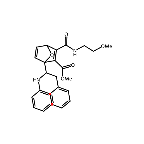 COCCNC(=O)C1=C(C(=O)OC)C2(C(Cc3ccccc3)Nc3ccccc3)C=CC1O2